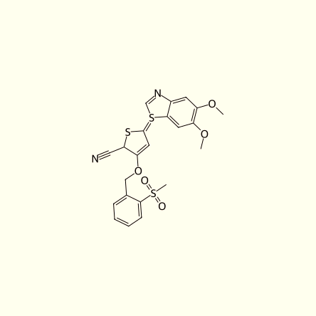 COc1cc2c(cc1OC)S(=C1C=C(OCc3ccccc3S(C)(=O)=O)C(C#N)S1)C=N2